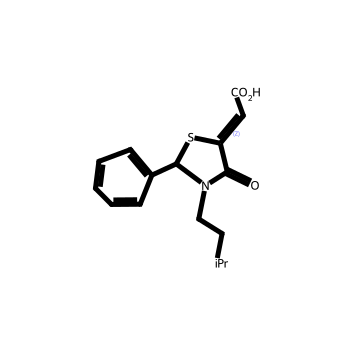 CC(C)CCN1C(=O)/C(=C/C(=O)O)SC1c1ccccc1